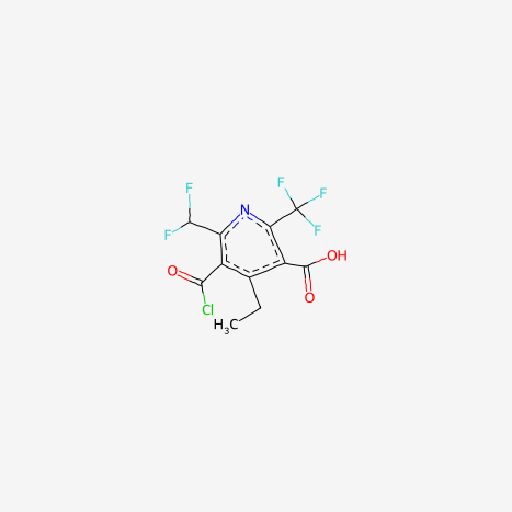 CCc1c(C(=O)Cl)c(C(F)F)nc(C(F)(F)F)c1C(=O)O